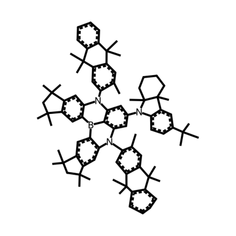 Cc1cc2c(cc1N1c3cc4c(cc3B3c5cc6c(cc5N(c5cc7c(cc5C)C(C)(C)c5ccccc5C7(C)C)c5cc(N7c8ccc(C(C)(C)C)cc8C8(C)CCCCC78C)cc1c53)C(C)(C)CC6(C)C)C(C)(C)CC4(C)C)C(C)(C)c1ccccc1C2(C)C